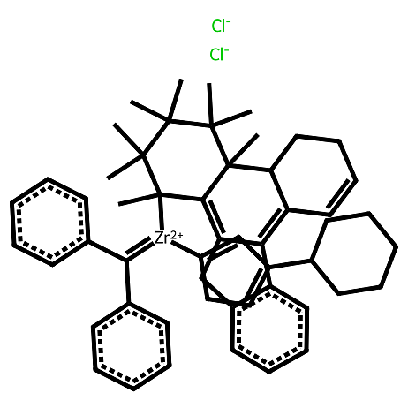 CC12C(=C3Cc4ccccc4C3=C3C=CCCC31)[C](C)([Zr+2]([C]1=CC(C3CCCCC3)=CC1)=[C](c1ccccc1)c1ccccc1)C(C)(C)C(C)(C)C2(C)C.[Cl-].[Cl-]